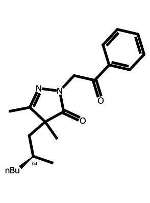 CCCC[C@H](C)CC1(C)C(=O)N(CC(=O)c2ccccc2)N=C1C